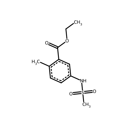 CCOC(=O)c1cc(NS(C)(=O)=O)ccc1C